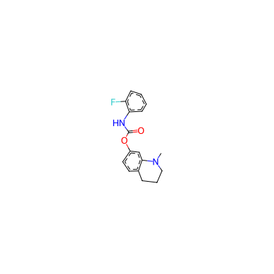 CN1CCCc2ccc(OC(=O)Nc3ccccc3F)cc21